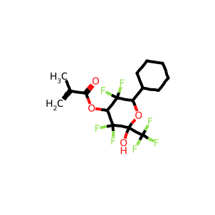 C=C(C)C(=O)OC1C(F)(F)C(C2CCCCC2)OC(O)(C(F)(F)F)C1(F)F